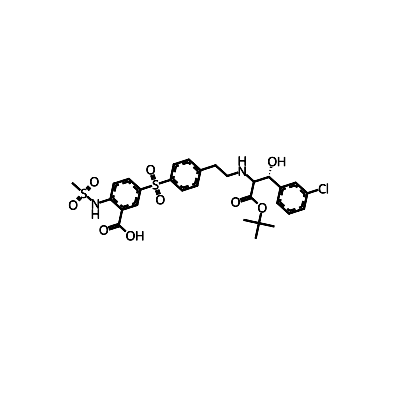 CC(C)(C)OC(=O)C(NCCc1ccc(S(=O)(=O)c2ccc(NS(C)(=O)=O)c(C(=O)O)c2)cc1)[C@H](O)c1cccc(Cl)c1